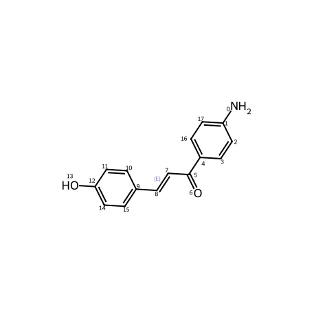 Nc1ccc(C(=O)/C=C/c2ccc(O)cc2)cc1